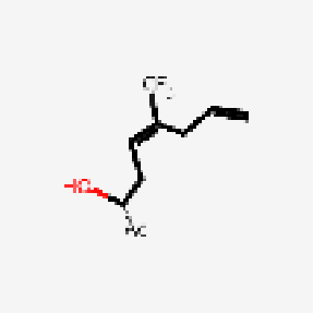 C=CC/C(=C\C[C@@H](O)C(C)=O)C(F)(F)F